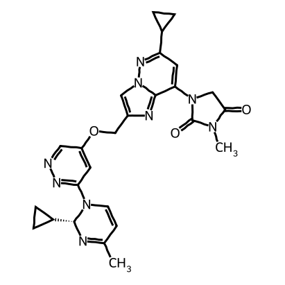 CC1=N[C@H](C2CC2)N(c2cc(OCc3cn4nc(C5CC5)cc(N5CC(=O)N(C)C5=O)c4n3)cnn2)C=C1